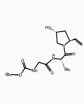 C=C[C@@H]1C[C@@H](O)CN1C(=O)[C@@H](NC(=O)CNC(=O)OC(C)(C)C)C(C)(C)C